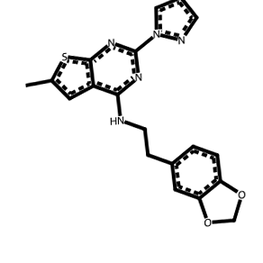 Cc1cc2c(NCCc3ccc4c(c3)OCO4)nc(-n3cccn3)nc2s1